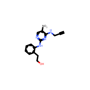 C#CCNc1nc(Nc2ccccc2CCO)ncc1[N+](=O)[O-]